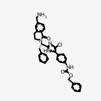 NCc1ccc2c(c1)CCN([C@@H](Cc1ccccc1)c1nc(Cl)c(-c3ccc(NC(=O)OCc4ccccc4)cc3)[nH]1)C2=O